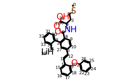 CSCCC(NC(=O)c1ccc(C=Cc2ccccc2Oc2ccccc2)cc1-c1ccccc1C)C(=O)O.[LiH]